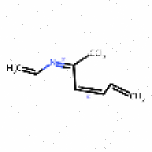 C=C/C=C\C(=N/C=C)C(Cl)(Cl)Cl